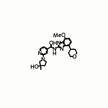 COc1ccc(C2CCOCC2)c2nc(NC(=O)c3ccnc(N4CCC(C)(O)C4)c3)[nH]c12